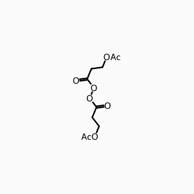 CC(=O)OCCC(=O)OOC(=O)CCOC(C)=O